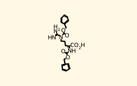 N=C(N)N(CCC[C@H](NC(=O)OCc1ccccc1)C(=O)O)C(=O)OCc1ccccc1